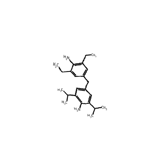 CCc1cc(Cc2cc(C(C)C)c(N)c(C(C)C)c2)cc(CC)c1N